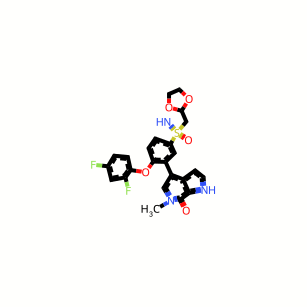 Cn1cc(-c2cc(S(=N)(=O)CC3OCCO3)ccc2Oc2ccc(F)cc2F)c2cc[nH]c2c1=O